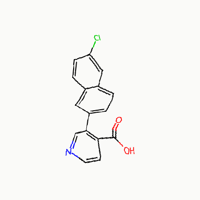 O=C(O)c1ccncc1-c1ccc2cc(Cl)ccc2c1